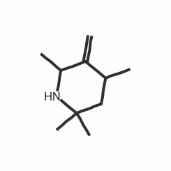 C=C1C(C)CC(C)(C)NC1C